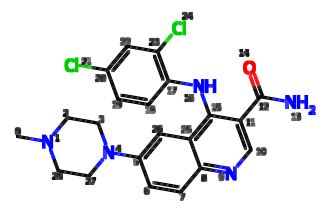 CN1CCN(c2ccc3ncc(C(N)=O)c(Nc4ccc(Cl)cc4Cl)c3c2)CC1